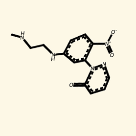 CNCCNc1ccc([N+](=O)[O-])c(-n2ncccc2=O)c1